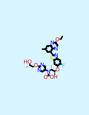 CCOc1cnc2c(-c3nc4cc(F)c(O[C@@H](C)[C@@H](C)N(C(=O)O)c5cnc(OC[C@H](C)O)nc5)cc4s3)cc(C)cc2n1